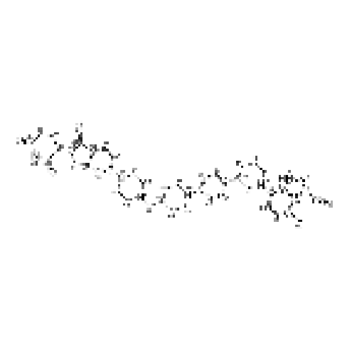 N#Cc1n[nH]c2c(N3CCC[C@@H](c4ccc(N5CCC(CN6CCN(c7ccc8c(c7)CN(C7CCC(=O)NC7=O)C8=O)CC6)CC5)cc4)C3)ccc(F)c12